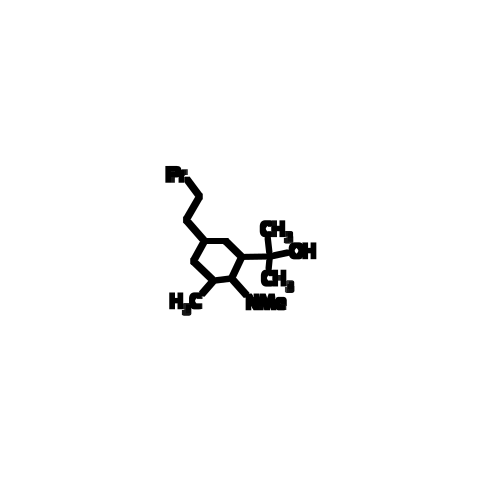 CNC1C(C)CC(CCC(C)C)CC1C(C)(C)O